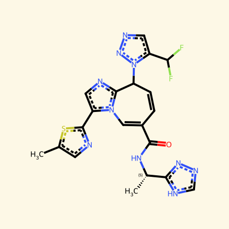 Cc1cnc(-c2cnc3n2C=C(C(=O)N[C@@H](C)c2nnc[nH]2)C=CC3n2nncc2C(F)F)s1